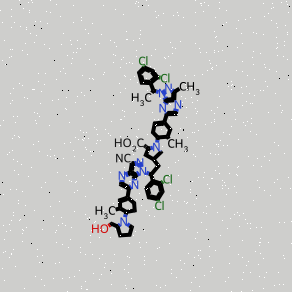 Cc1nn(C(C)c2ccc(Cl)cc2Cl)c2nc(C3=CCC(N4CC(CC(c5ccc(Cl)cc5Cl)n5nc(C#N)c6ncc(C7=CC(C)C(N8CCCC8CO)CC7)nc65)CC4C(=O)O)C(C)C3)cnc12